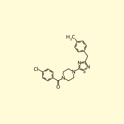 Cc1ccc(Cc2nsc(N3CCN(C(=O)c4ccc(Cl)cc4)CC3)n2)cc1